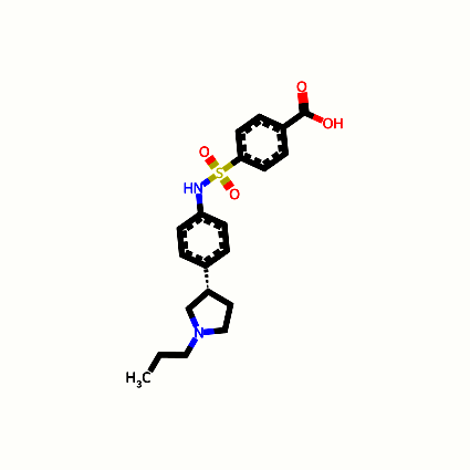 CCCN1CC[C@@H](c2ccc(NS(=O)(=O)c3ccc(C(=O)O)cc3)cc2)C1